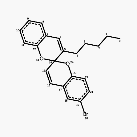 CCCCCC1=Cc2ccccc2OC12C=Cc1cc(Br)ccc1O2